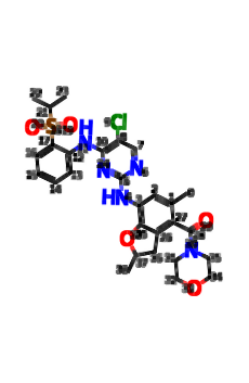 Cc1cc(Nc2ncc(Cl)c(Nc3ccccc3S(=O)(=O)C(C)C)n2)c2c(c1C(=O)N1CCOCC1)CC(C)O2